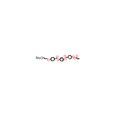 C=CC(=O)OOC1CCC(C(=O)Oc2ccc(OC(=O)C3CCC(OCCCOC)CC3)cc2)CC1